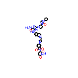 NC(=O)c1ncc(N2CCCC(N3CCN(C4CCCC4)C3=O)C2)nc1Nc1ccc2c(c1)CCN(CC1CN(c3ccc4c(c3)C(=O)N(C3CCC(=O)NC3=O)C4=O)C1)C2